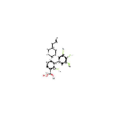 C=CCC1CCC(c2ccc(C(=O)O)c(F)c2-c2cc(F)c(F)c(F)c2)CC1